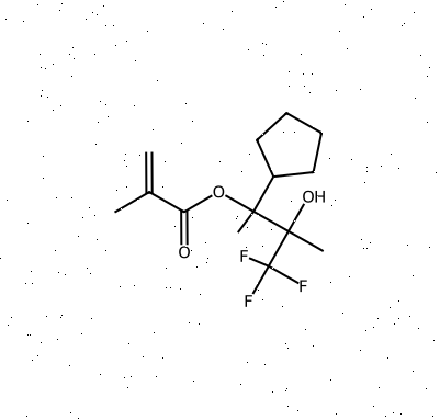 C=C(C)C(=O)OC(C)(C1CCCC1)C(C)(O)C(F)(F)F